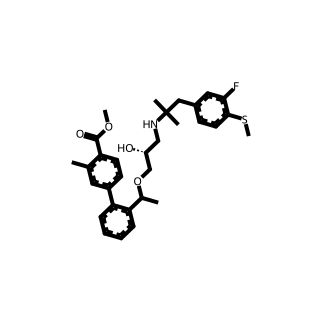 COC(=O)c1ccc(-c2ccccc2C(C)OC[C@H](O)CNC(C)(C)Cc2ccc(SC)c(F)c2)cc1C